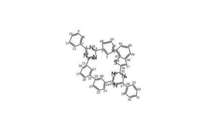 c1ccc(-c2nc(-c3ccccc3)nc(-c3cccc(-c4cccc(-c5nc(-c6ccccc6)nc(-c6cc7ccccc7s6)n5)c4)c3)n2)cc1